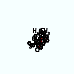 CC1(C)c2ccccc2-c2c(-c3ccc(N(c4ccccc4)c4ccc5c(c4)C4(c6ccccc6Oc6c(N(c7cc(-c8ccccc8)c8c(c7)oc7ccccc78)c7ccc8sc9ccccc9c8c7)cccc64)c4cc(Cl)ccc4-5)c4c3sc3ccccc34)cccc21